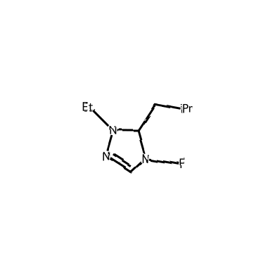 CCN1N=CN(F)C1CC(C)C